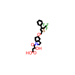 O=C(O)C[C@H](O)C(=O)N1CCc2cc(OCc3cc(-c4ccccc4)c(C(F)(F)F)s3)ccc21